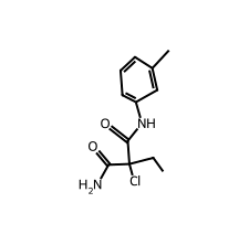 CCC(Cl)(C(N)=O)C(=O)Nc1cccc(C)c1